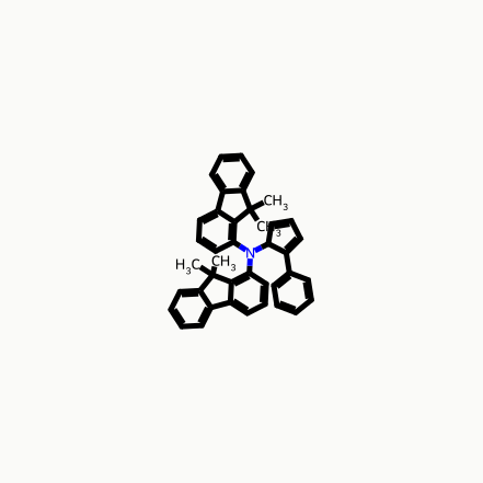 CC1(C)c2ccccc2-c2cccc(N(c3cccc4c3C(C)(C)c3ccccc3-4)C3C=CC=C3c3ccccc3)c21